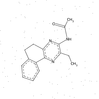 CCc1nc2c(nc1NC(C)=O)CCc1ccccc1-2